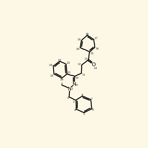 CN(Cc1ccccc1)N=C(CCC(=O)c1ccccc1)c1ccccc1